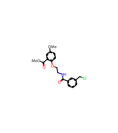 COC(=O)c1cc(OC)ccc1OCCNC(=O)c1cccc(CCl)c1